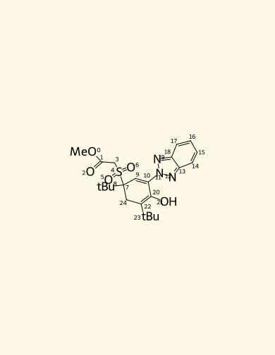 COC(=O)CS(=O)(=O)C1(C(C)(C)C)C=C(n2nc3ccccc3n2)C(O)=C(C(C)(C)C)C1